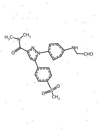 CN(C)C(=O)c1cc(-c2ccc(S(C)(=O)=O)cc2)n(-c2ccc(NCC=O)cc2)n1